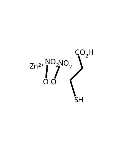 O=C(O)CCS.O=[N+]([O-])[O-].O=[N+]([O-])[O-].[Zn+2]